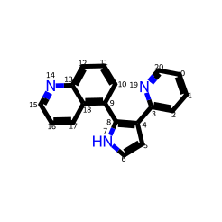 c1ccc(-c2cc[nH]c2-c2cccc3ncccc23)nc1